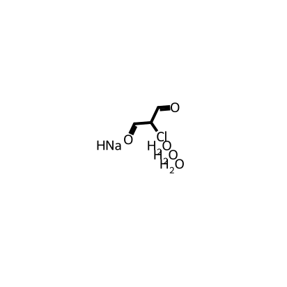 O.O.O.O=CC(Cl)C=O.[NaH]